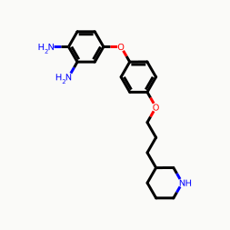 Nc1ccc(Oc2ccc(OCCCC3CCCNC3)cc2)cc1N